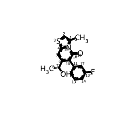 Cc1csc2cc([C@H](C)O)c(-c3cccc(F)c3)c(=O)n12